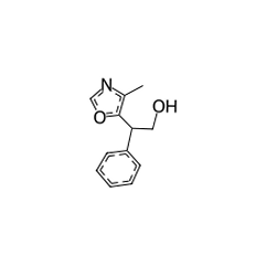 Cc1ncoc1C(CO)c1ccccc1